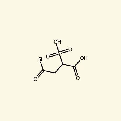 O=C(S)CC(C(=O)O)S(=O)(=O)O